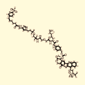 CC[C@@]1(OC(=O)OCc2ccc(NC(=O)[C@H](CCCCN)NC(=O)COCC(=O)NC(C)(C)COC(C)(C)CCn3cc(CNC(=O)CCC/C=C\c4cnc(S(C)(=O)=O)nc4)nn3)cc2)C(=O)OCc2c1cc1n(c2=O)Cc2c-1nc1ccccc1c2CCN(C(C)C)S(C)(=O)=O